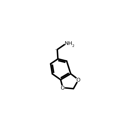 N[CH]c1ccc2c(c1)OCO2